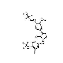 COc1cc(N2CCC(Oc3ccc(OC(F)(F)F)c(F)c3)C2=O)ccc1OCC(C)(C)O